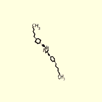 CCCCCC[C@H]1CC[C@H](C#Cc2cnc(C#C[C@H]3CC[C@H](CCCCCC)CC3)nc2)CC1